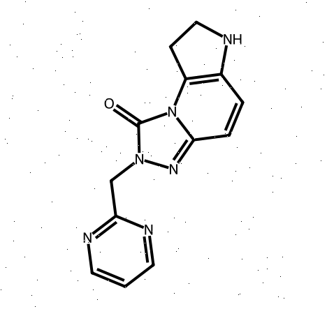 O=c1n(Cc2ncccn2)nc2ccc3c(n12)CCN3